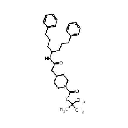 CC(C)(C)OC(=O)N1CCC(CC(=O)NC(CCCc2ccccc2)CCCc2ccccc2)CC1